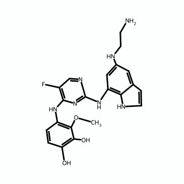 COc1c(Nc2nc(Nc3cc(NCCN)cc4cc[nH]c34)ncc2F)ccc(O)c1O